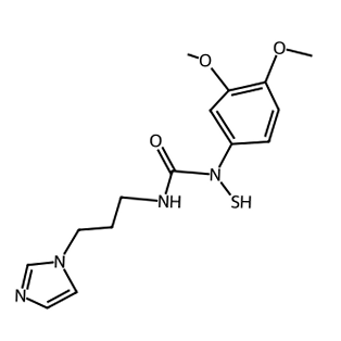 COc1ccc(N(S)C(=O)NCCCn2ccnc2)cc1OC